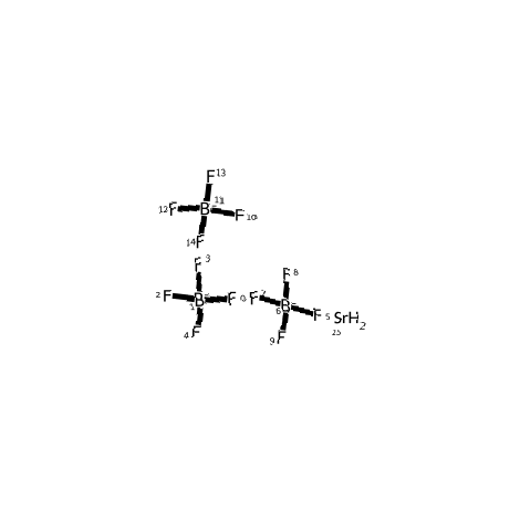 F[B-](F)(F)F.F[B-](F)(F)F.F[B-](F)(F)F.[SrH2]